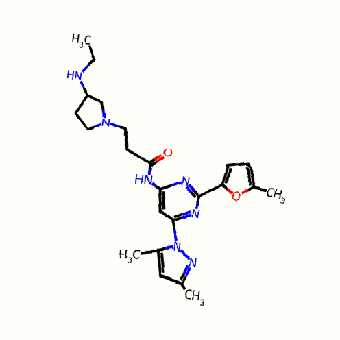 CCNC1CCN(CCC(=O)Nc2cc(-n3nc(C)cc3C)nc(-c3ccc(C)o3)n2)C1